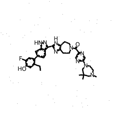 CCc1cc(O)c(F)cc1-c1ccc2c(-c3nc4c([nH]3)CCN(C(=O)c3cnc(N5CCN(C)CC(C)(C)C5)cn3)CC4)n[nH]c2c1